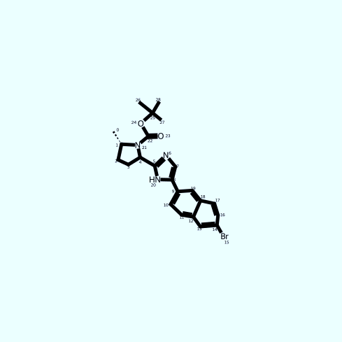 C[C@H]1CCC(c2ncc(-c3ccc4cc(Br)ccc4c3)[nH]2)N1C(=O)OC(C)(C)C